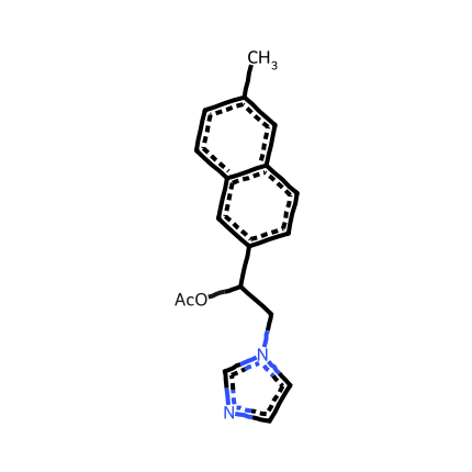 CC(=O)OC(Cn1ccnc1)c1ccc2cc(C)ccc2c1